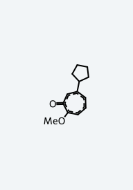 COc1cccc(C2CCCC2)cc1=O